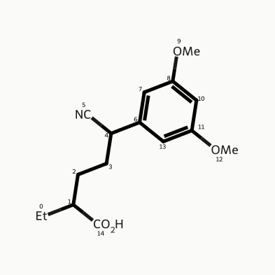 CCC(CCC(C#N)c1cc(OC)cc(OC)c1)C(=O)O